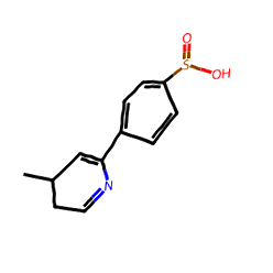 CC1C=C(c2ccc(S(=O)O)cc2)N=CC1